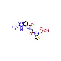 CC1(NC(=O)CNC(=O)c2cccc(NC(=N)N)c2)C=CSC1CCC(=O)O